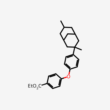 CCOC(=O)c1ccc(Oc2ccc(C3(C)CC4CC(C)CC(C4)C3)cc2)cc1